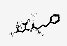 CC(C)CC(NC(=O)[C@@H](N)CCc1ccccc1)C(=O)O.Cl